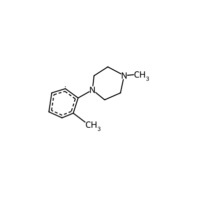 Cc1ccc[c]c1N1CCN(C)CC1